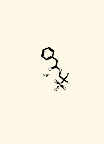 O=C(Cc1ccccc1)OCC(F)(F)S(=O)(=O)[O-].[Na+]